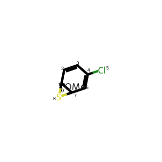 COC12C=CC(Cl)=CC1S2